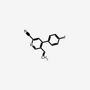 C=Cc1cnc(C#N)cc1-c1ccc(F)cc1